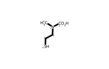 CN(CCS)C(=O)O